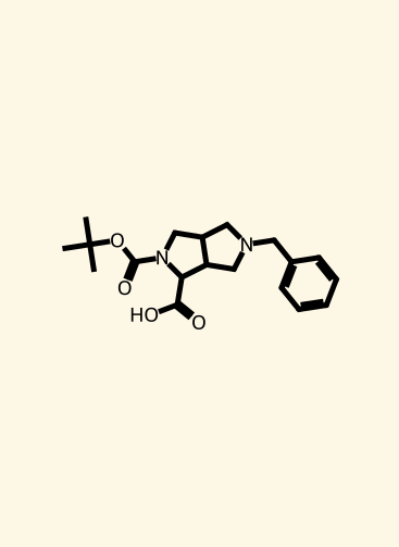 CC(C)(C)OC(=O)N1CC2CN(Cc3ccccc3)CC2C1C(=O)O